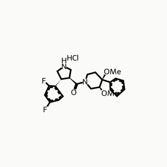 CO[C@H]1CN(C(=O)[C@@H]2CNC[C@H]2c2ccc(F)cc2F)CC[C@]1(OC)c1ccccc1.Cl